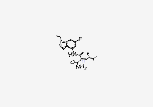 C=C(Nc1cc(F)cc2c1cnn2CC)/C(=C\C(F)=C(C)C)C(N)=O